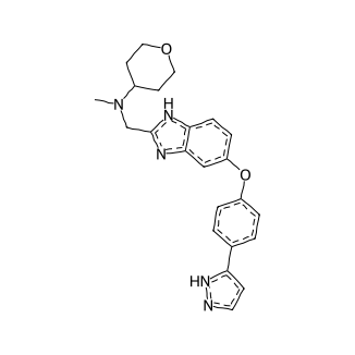 CN(Cc1nc2cc(Oc3ccc(-c4ccn[nH]4)cc3)ccc2[nH]1)C1CCOCC1